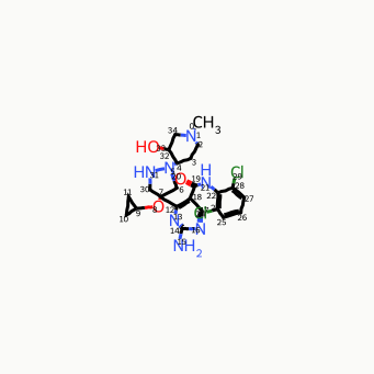 CN1CCC(N2CC(OC3CC3)(c3nc(N)ncc3C(=O)Nc3c(Cl)cccc3Cl)CN2)C(O)C1